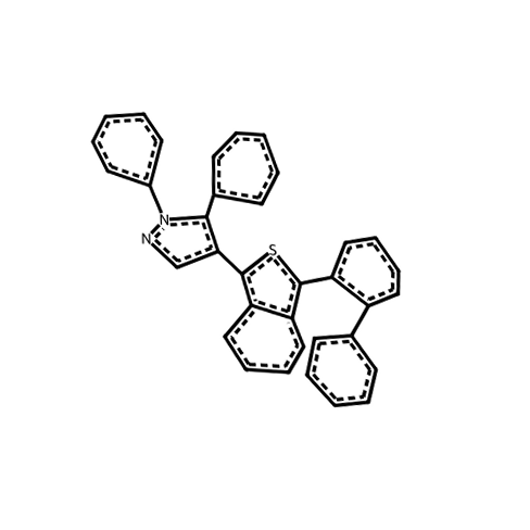 c1ccc(-c2ccccc2-c2sc(-c3cnn(-c4ccccc4)c3-c3ccccc3)c3ccccc23)cc1